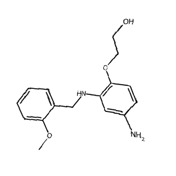 COc1ccccc1CNc1cc(N)ccc1OCCO